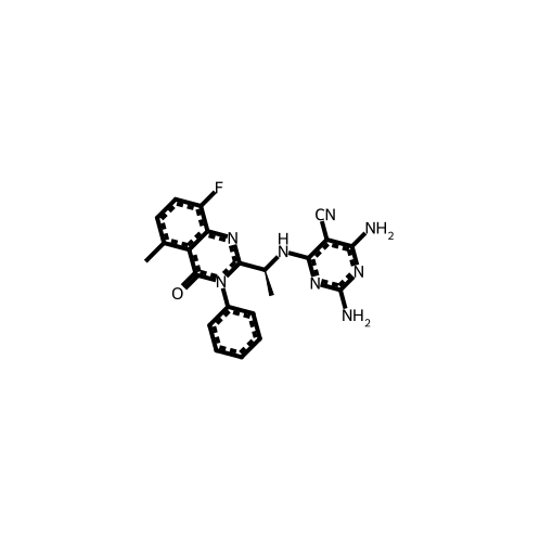 Cc1ccc(F)c2nc([C@H](C)Nc3nc(N)nc(N)c3C#N)n(-c3ccccc3)c(=O)c12